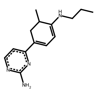 CCCNC1=CC=C(c2ccnc(N)n2)CC1C